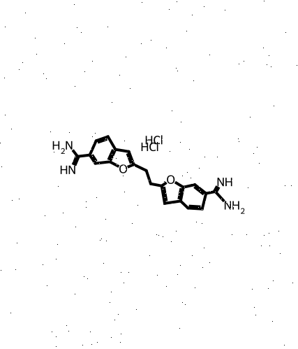 Cl.Cl.N=C(N)c1ccc2cc(CCc3cc4ccc(C(=N)N)cc4o3)oc2c1